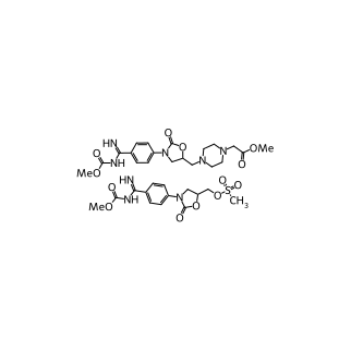 COC(=O)CN1CCN(CC2CN(c3ccc(C(=N)NC(=O)OC)cc3)C(=O)O2)CC1.COC(=O)NC(=N)c1ccc(N2CC(COS(C)(=O)=O)OC2=O)cc1